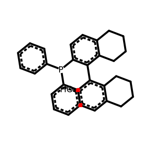 Oc1ccc2c(c1-c1c(P(c3ccccc3)c3ccccc3)ccc3c1CCCC3)CCCC2